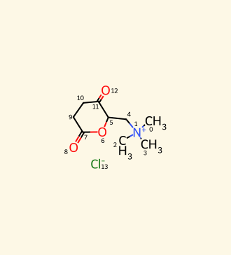 C[N+](C)(C)CC1OC(=O)CCC1=O.[Cl-]